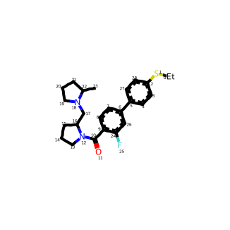 CCSc1ccc(-c2ccc(C(=O)N3CCCC3CN3CCCC3C)c(F)c2)cc1